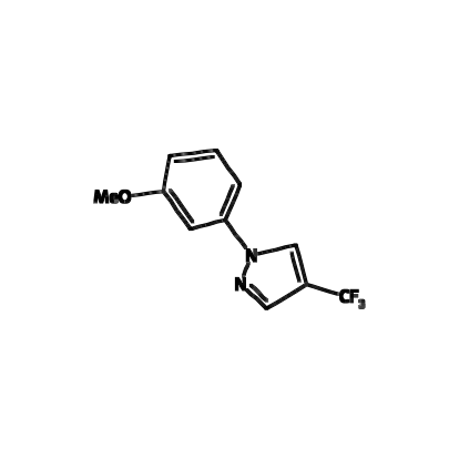 COc1cccc(-n2cc(C(F)(F)F)cn2)c1